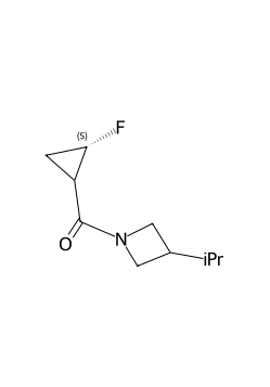 CC(C)C1CN(C(=O)C2C[C@@H]2F)C1